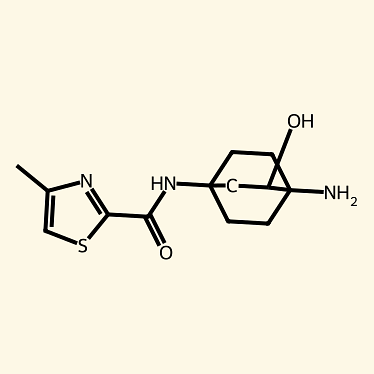 Cc1csc(C(=O)NC23CCC(N)(CC2)C(O)C3)n1